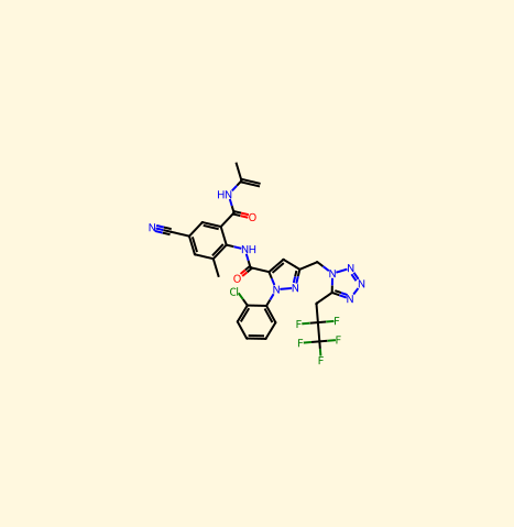 C=C(C)NC(=O)c1cc(C#N)cc(C)c1NC(=O)c1cc(Cn2nnnc2CC(F)(F)C(F)(F)F)nn1-c1ccccc1Cl